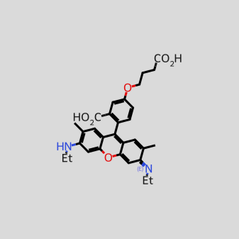 CC/N=c1\cc2oc3cc(NCC)c(C)cc3c(-c3ccc(OCCCC(=O)O)cc3C(=O)O)c-2cc1C